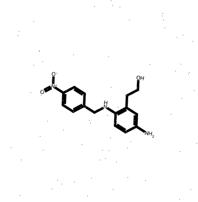 Nc1ccc(NCc2ccc([N+](=O)[O-])cc2)c(CCO)c1